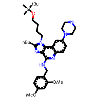 CCCCc1nc2c(NCc3ccc(OC)cc3OC)nc3ccc(N4CCNCC4)cc3c2n1CCCCO[Si](C)(C)C(C)(C)C